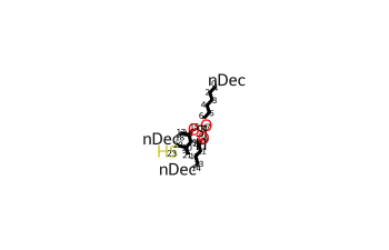 CCCCCCCCCCCCCCCCO[SiH](OCCCCCCCCCCCCCC)OC(CCCCCCCCCCC)CC(C)CS